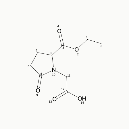 CCOC(=O)C1CCC(=O)N1CC(=O)O